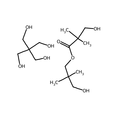 CC(C)(CO)COC(=O)C(C)(C)CO.OCC(CO)(CO)CO